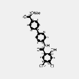 COC(=O)c1ccc(-c2ccc(NC(=O)c3cc(Cl)c(Cl)cc3O)cc2)cc1